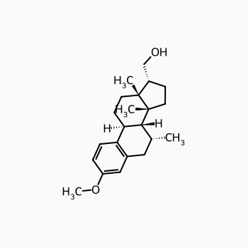 COc1ccc2c(c1)C[C@@H](C)[C@@H]1[C@@H]2CC[C@]2(C)[C@H](CO)CC[C@]12C